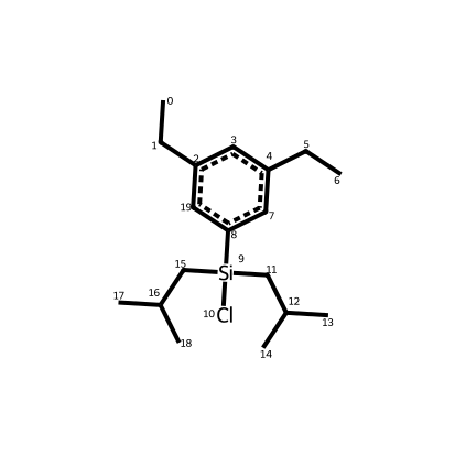 CCc1cc(CC)cc([Si](Cl)(CC(C)C)CC(C)C)c1